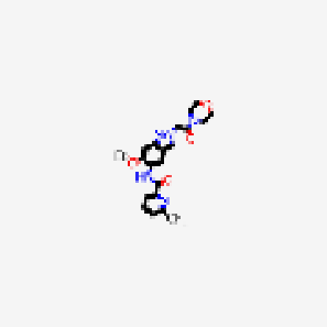 CCOc1cc2nn(CC(=O)N3CCOCC3)cc2cc1NC(=O)c1cccc(C(F)(F)F)n1